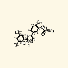 CCCCC(=O)Nc1cc(C2=NOC(c3cc(Cl)cc(Cl)c3)(C(F)(F)F)C2)ccc1C